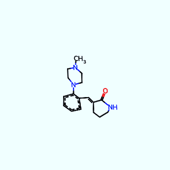 CN1CCN(c2ccccc2/C=C2\CCCNC2=O)CC1